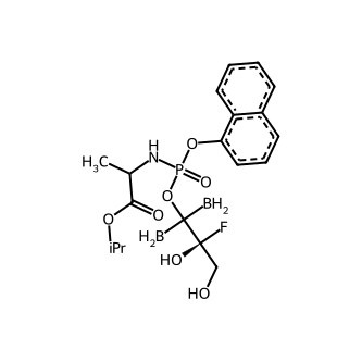 BC(B)(OP(=O)(NC(C)C(=O)OC(C)C)Oc1cccc2ccccc12)[C@](O)(F)CO